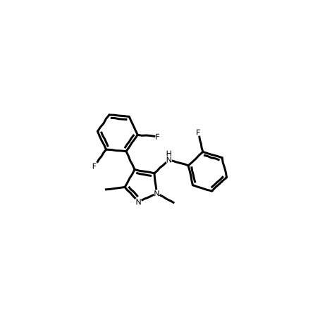 Cc1nn(C)c(Nc2ccccc2F)c1-c1c(F)cccc1F